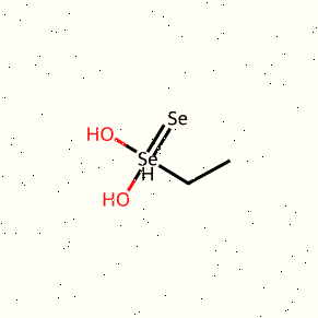 CC[SeH](O)(O)=[Se]